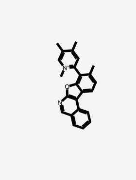 Cc1cc(-c2c(C)ccc3c2oc2ncc4ccccc4c23)[n+](C)cc1C